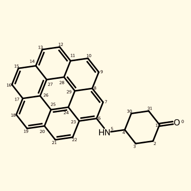 O=C1CCC(Nc2cc3ccc4ccc5ccc6ccc7ccc2c2c7c6c5c4c32)CC1